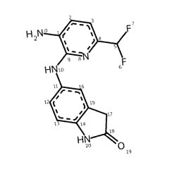 Nc1ccc(C(F)F)nc1Nc1ccc2c(c1)CC(=O)N2